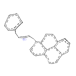 C(=C\c1ccc2ccc3cccc4ccc1c2c34)/c1ccccc1